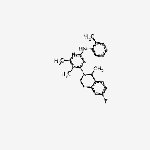 Cc1ccccc1Nc1nc(C)c(C)c(N2CCc3cc(F)ccc3C2C)n1